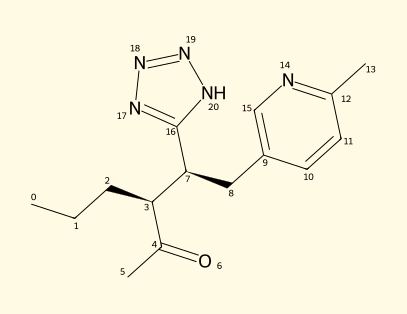 CCC[C@H](C(C)=O)[C@H](Cc1ccc(C)nc1)c1nnn[nH]1